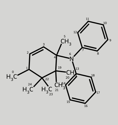 CC1C=CC(C)(N(c2ccccc2)c2ccccc2)C(C)(C)C1(C)C